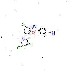 Cc1cc(C(N)Oc2cc(Cl)ccc2Cc2ncc(Cl)cc2F)ccc1C#N